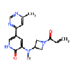 C=CC(=O)N1CC(N(CC)c2cc(-c3cc(C)ncn3)c[nH]c2=O)C1